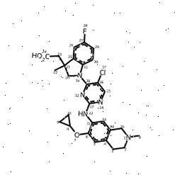 CN1CCc2cc(OC3CC3)c(Nc3ncc(Cl)c(N4CC(C)(CC(=O)O)c5cc(F)ccc54)n3)cc2C1